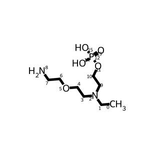 CCN(CCOCCN)CCOP(=O)(O)O